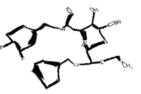 CCCC(OCc1ccccc1)c1nc(O)c(O)c(C(=O)NCc2ccc(F)c(F)c2)n1